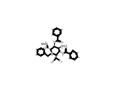 CNC(=O)[C@@H]1[C@@H](OC(=O)c2ccccc2)[C@@H](O)[C@H](OC(=O)c2ccccc2)[C@@H](C(F)F)N1Cc1ccccc1